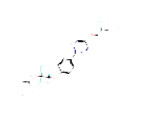 CCCCCCCCC(F)COc1cnc(-c2ccc(OC(F)(F)C(F)(F)OC(C)OCCCC)cc2)nc1